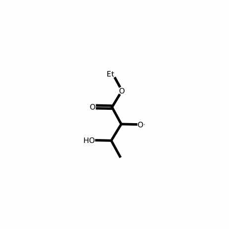 CCOC(=O)C([O])C(C)O